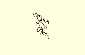 NC(=O)OC1[C@H]2CNC[C@@H]12